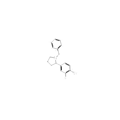 Fc1cc(C2CCCN2Cc2ccccc2)ccc1Br